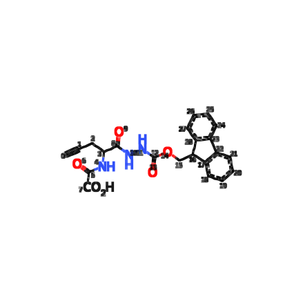 C#CCC(NC(=O)C(=O)O)C(=O)NNC(=O)OCC1c2ccccc2-c2ccccc21